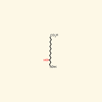 CCCCCCCCCCCCC(O)CCCCCCCCCCC(=O)O